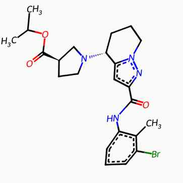 Cc1c(Br)cccc1NC(=O)c1cc2n(n1)CCC[C@H]2N1CC[C@@H](C(=O)OC(C)C)C1